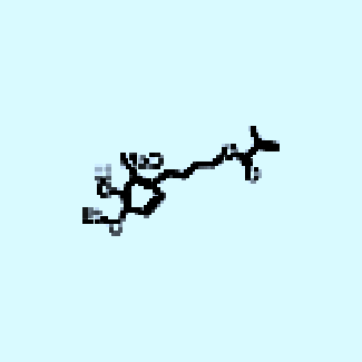 C=C(C)C(=O)OCCCCc1ccc(OCC)c(OCC)c1OC